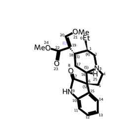 CC[C@H]1CN2CC[C@@]3(C(=O)Nc4ccccc43)[C@@H]2C[C@@H]1/C(=C\OC)C(=O)OC